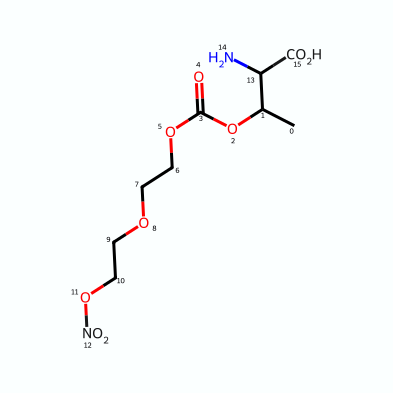 CC(OC(=O)OCCOCCO[N+](=O)[O-])C(N)C(=O)O